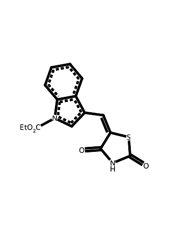 CCOC(=O)n1cc(C=C2SC(=O)NC2=O)c2ccccc21